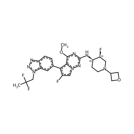 COc1nc(N[C@@H]2CCN(C3COC3)C[C@@H]2F)nn2cc(F)c(-c3ccc4nnn(CC(C)(F)F)c4c3)c12